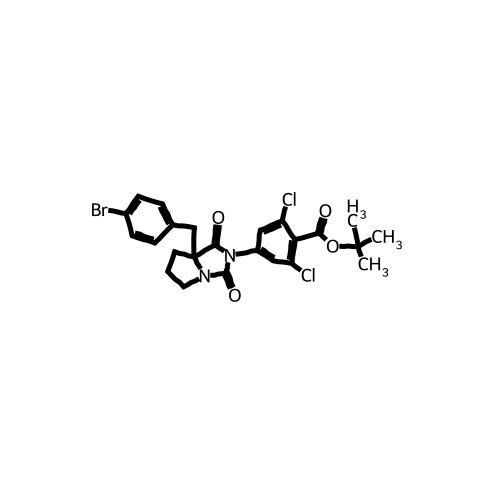 CC(C)(C)OC(=O)c1c(Cl)cc(N2C(=O)N3CCCC3(Cc3ccc(Br)cc3)C2=O)cc1Cl